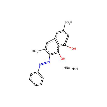 O=S(=O)(O)c1cc(O)c2c(O)c(/N=N/c3ccccc3)c(S(=O)(=O)O)cc2c1.[NaH].[NaH]